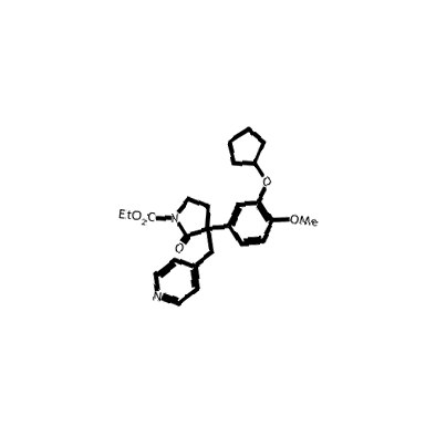 CCOC(=O)N1CCC(Cc2ccncc2)(c2ccc(OC)c(OC3CCCC3)c2)C1=O